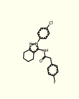 O=C(Cc1ccc(F)cc1)Nc1c2c(nn1-c1ccc(Cl)cc1)CCCC2